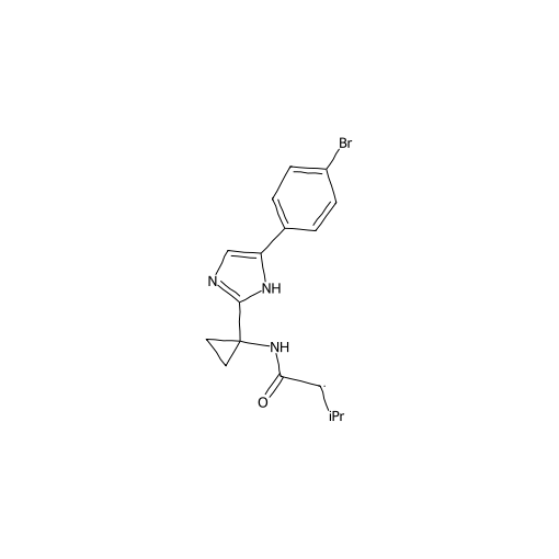 CC(C)[CH]C(=O)NC1(c2ncc(-c3ccc(Br)cc3)[nH]2)CC1